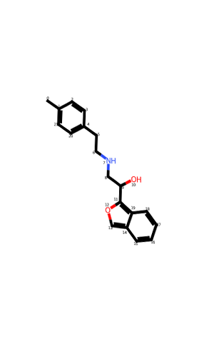 Cc1ccc(CCNCC(O)c2occ3ccccc23)cc1